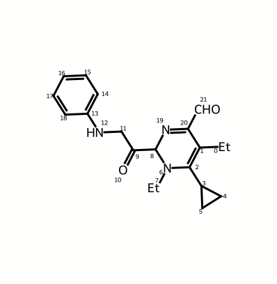 CCC1=C(C2CC2)N(CC)C(C(=O)CNc2ccccc2)N=C1C=O